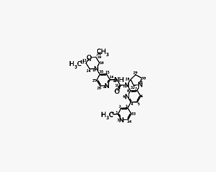 Cc1cc(-c2ccc3c(n2)N(C(=O)Nc2cc(N4C[C@@H](C)O[C@@H](C)C4)ccn2)C2CCN3C2)ccn1